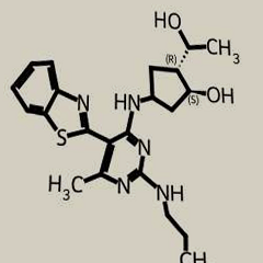 CCCNc1nc(C)c(-c2nc3ccccc3s2)c(NC2C[C@H](C(C)O)[C@@H](O)C2)n1